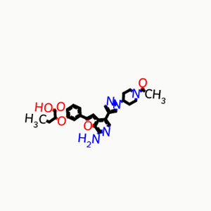 CCC(Oc1cccc(-c2cc3c(-c4cnn(C5CCN(C(C)=O)CC5)c4)cnc(N)c3o2)c1)C(=O)O